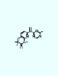 Cc1ncnc(Nc2ccc3c(n2)NC(=O)C(C)(C)C3)n1